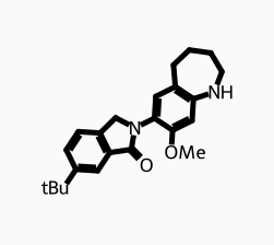 COc1cc2c(cc1N1Cc3ccc(C(C)(C)C)cc3C1=O)CCCCN2